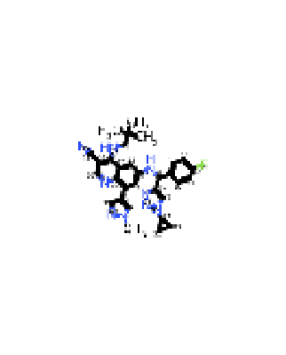 Cn1cc(-c2cc(NC(c3ccc(F)cc3)c3cn(C4CC4)nn3)cc3c(NCC(C)(C)C)c(C#N)cnc23)cn1